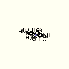 CC(=O)Nc1ccc(/C=C/c2ccc(NC(=O)NC(C)C)cc2S(=O)(=O)O)c(S(=O)(=O)O)c1